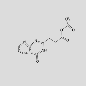 O=C(CCc1nc2ncccc2c(=O)[nH]1)OC(=O)C(F)(F)F